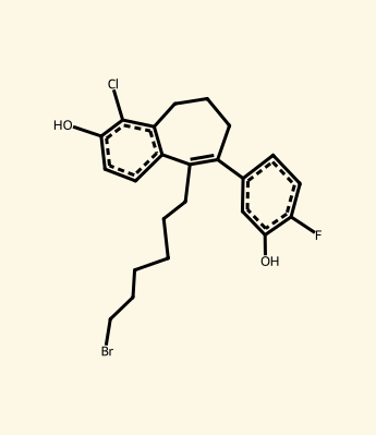 Oc1cc(C2=C(CCCCCCBr)c3ccc(O)c(Cl)c3CCC2)ccc1F